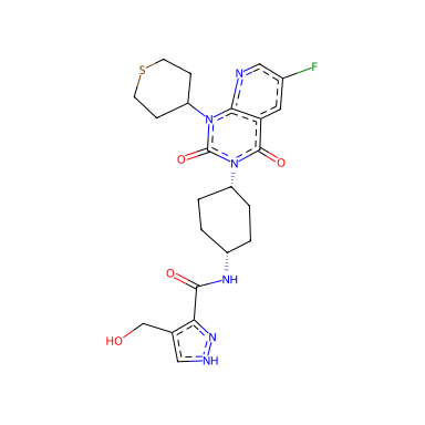 O=C(N[C@H]1CC[C@@H](n2c(=O)c3cc(F)cnc3n(C3CCSCC3)c2=O)CC1)c1n[nH]cc1CO